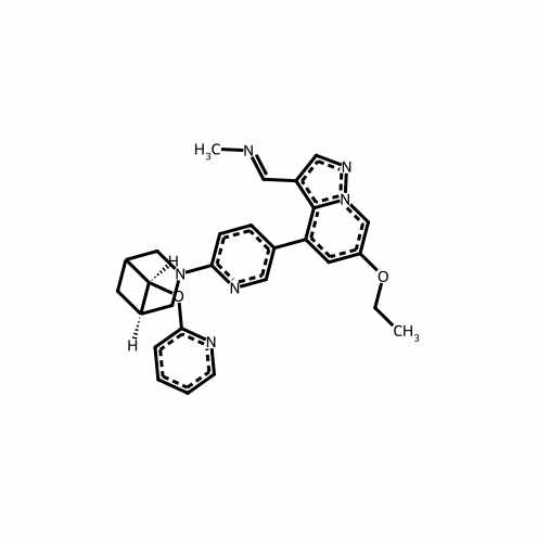 CCOc1cc(-c2ccc(N3CC4C[C@H](C3)[C@@H]4Oc3ccccn3)nc2)c2c(/C=N/C)cnn2c1